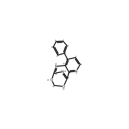 c1ccc(-c2ccnc3c4nc(nc23)OCO4)cc1